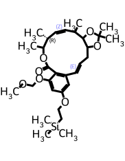 COCOc1cc(OCC[Si](C)(C)C)cc2c1C(=O)OC(C)[C@H](C)/C=C\C(C)C1OC(C)(C)OC1C/C=C/2